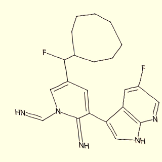 N=Cn1cc(C(F)C2CCCCCCC2)cc(-c2c[nH]c3ncc(F)cc23)c1=N